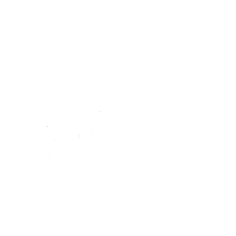 C=C(F)C(=O)OCC(O)CC(F)(F)C(F)(F)C(F)(F)C(F)(F)C(F)(F)C(F)(F)C(F)(C(F)(F)F)C(F)(F)F